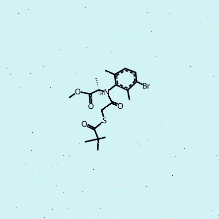 COC(=O)[C@H](C)N(C(=O)CSC(=O)C(C)(C)C)c1c(C)ccc(Br)c1C